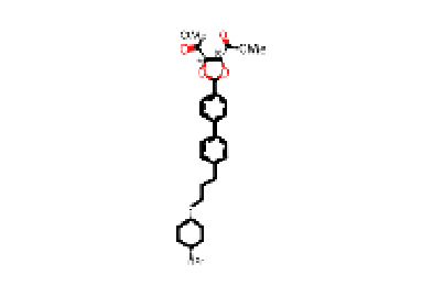 CCC[C@H]1CC[C@H](CCCCc2ccc(-c3ccc(C4O[C@@H](C(=O)OC)[C@H](C(=O)OC)O4)cc3)cc2)CC1